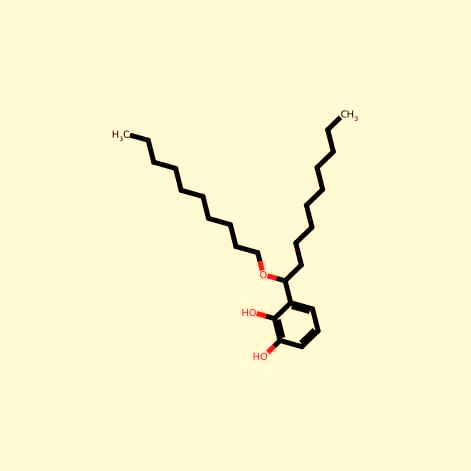 CCCCCCCCCCOC(CCCCCCCCC)c1cccc(O)c1O